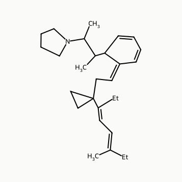 CC/C(C)=C/C=C(\CC)C1(C/C=C2/C=CC=CC2C(C)C(C)N2CCCC2)CC1